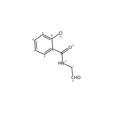 O=CCNC(=O)c1ccccc1Cl